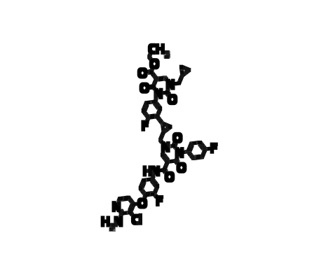 CCOC(=O)c1cn(CC2CC2)c(=O)n(-c2ccc(F)c(C3CC3Cn3cc(C(=O)Nc4ccc(Oc5ccnc(N)c5Cl)c(F)c4)c(=O)n(-c4ccc(F)cc4)c3=O)c2)c1=O